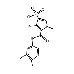 Cc1cc(NC(=O)c2c(F)c(S(=O)(=O)Cl)cn2C)ccc1F